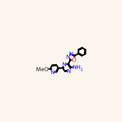 COc1ccc(-c2cnc(N)c(-c3nnc(-c4ccccc4)o3)n2)cn1